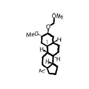 COCO[C@H]1C[C@@H]2CC[C@H]3[C@@H]4CCC[C@@]4(C(C)=O)CC[C@@H]3[C@@]2(C)C[C@@H]1OC